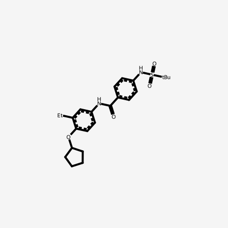 CCc1cc(NC(=O)c2ccc(NS(=O)(=O)C(C)(C)C)cc2)ccc1OC1CCCC1